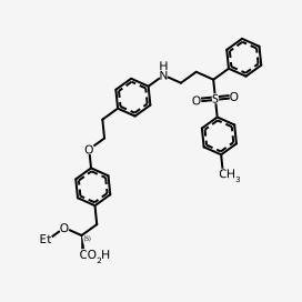 CCO[C@@H](Cc1ccc(OCCc2ccc(NCCC(c3ccccc3)S(=O)(=O)c3ccc(C)cc3)cc2)cc1)C(=O)O